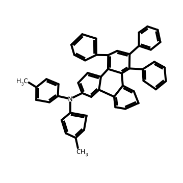 Cc1ccc(N(c2ccc(C)cc2)c2ccc3c(c2)c2ccccc2c2c(-c4ccccc4)c(-c4ccccc4)cc(-c4ccccc4)c32)cc1